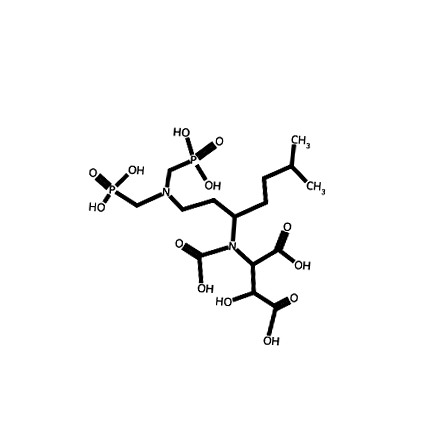 CC(C)CCC(CCN(CP(=O)(O)O)CP(=O)(O)O)N(C(=O)O)C(C(=O)O)C(O)C(=O)O